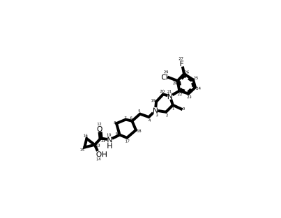 CC1CN(CCC2CCC(NC(=O)C3(O)CC3)CC2)CCN1c1cccc(F)c1Cl